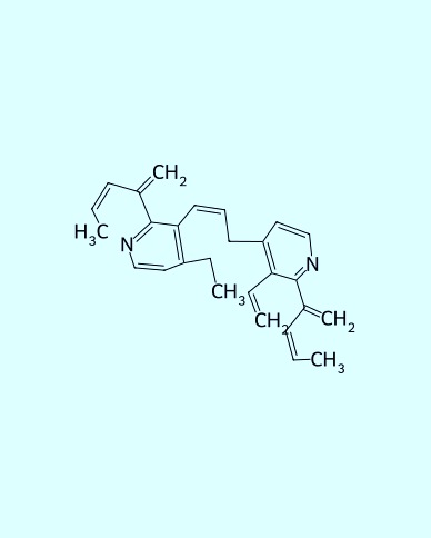 C=Cc1c(C/C=C\c2c(CC)ccnc2C(=C)/C=C\C)ccnc1C(=C)/C=C\C